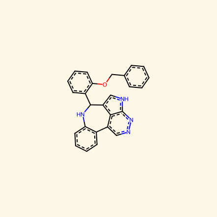 c1ccc(COc2ccccc2C2Nc3ccccc3-c3cnnc4[nH]cc2c34)cc1